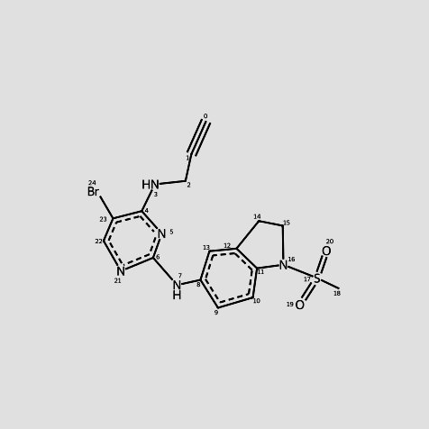 C#CCNc1nc(Nc2ccc3c(c2)CCN3S(C)(=O)=O)ncc1Br